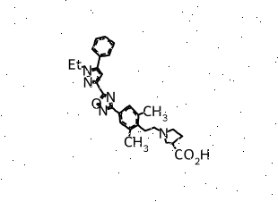 CCn1nc(-c2nc(-c3cc(C)c(CCN4CCC(C(=O)O)C4)c(C)c3)no2)cc1-c1ccccc1